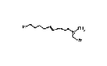 CC(C)CCCC/C=C/CCCN(C)CC(C)C